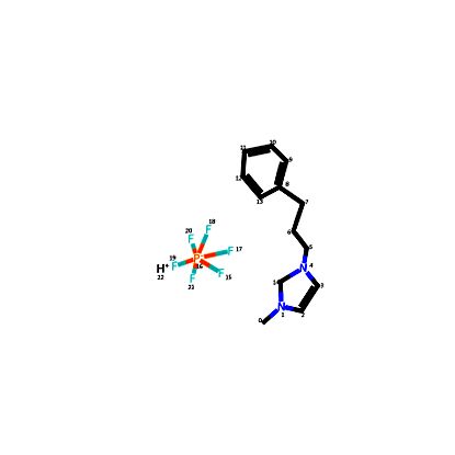 CN1C=CN(CCCc2ccccc2)C1.F[P-](F)(F)(F)(F)F.[H+]